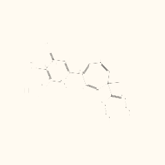 CC1(/C(=N/N)NN)C=CC=C(c2cc(=O)c(O)c(C(=O)O)[nH]2)C=C1